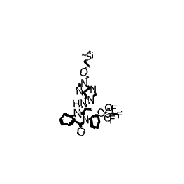 CC(Nc1ncnc2c1ncn2COCC[Si](C)(C)C)c1nc2ccccc2c(=O)n1-c1cccc(OS(=O)(=O)C(F)(F)F)c1